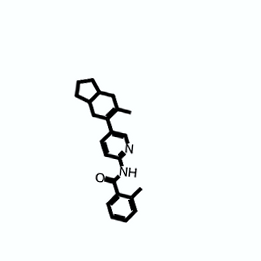 CC1=C(c2ccc(NC(=O)c3ccccc3C)nc2)CC2CCCC2C1